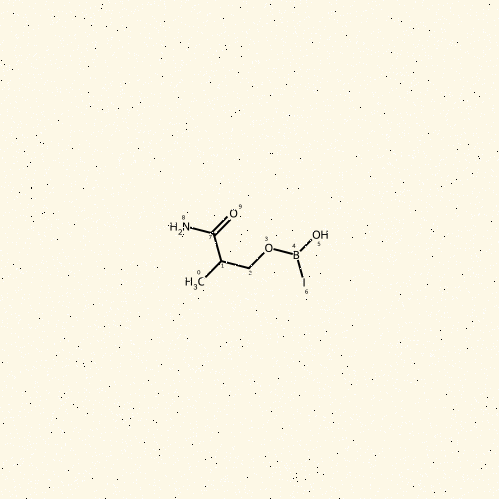 CC(COB(O)I)C(N)=O